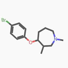 CC1CN(C)CCCC1Oc1ccc(Br)cc1